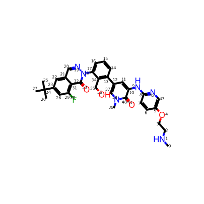 CNCCOc1ccc(Nc2cc(-c3cccc(-n4ncc5cc(C(C)(C)C)cc(F)c5c4=O)c3CO)cn(C)c2=O)nc1